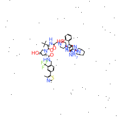 Cc1ncsc1-c1ccc(CNC(=O)[C@@H]2C[C@@H](O)CN2C(=O)[C@@H](NC(=O)CN2CCC(c3cnc(N4C5CCC4CN(c4cc(-c6ccccc6O)nnc4N)C5)nc3)CC2)C(C)(C)C)c(C(F)(F)F)c1